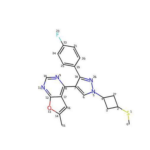 CSC1CC(n2cc(-c3ncnc4oc(C)cc34)c(-c3ccc(F)cc3)n2)C1